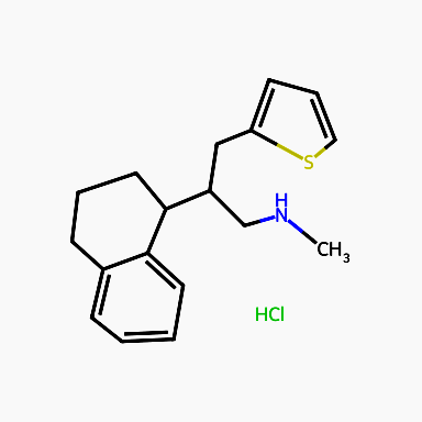 CNCC(Cc1cccs1)C1CCCc2ccccc21.Cl